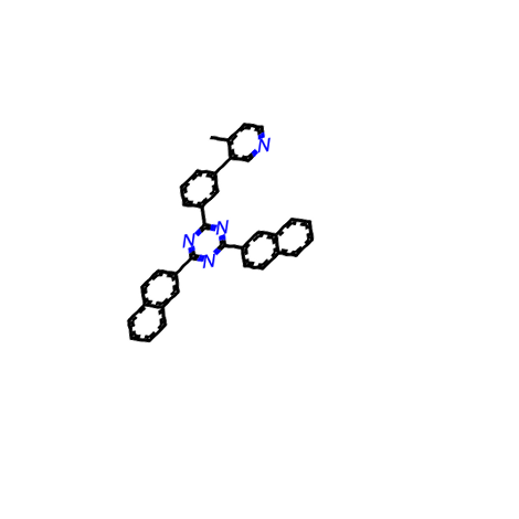 Cc1ccncc1-c1cccc(-c2nc(-c3ccc4ccccc4c3)nc(-c3ccc4ccccc4c3)n2)c1